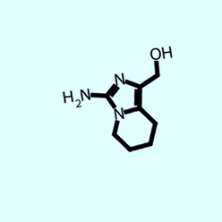 Nc1nc(CO)c2n1CCCC2